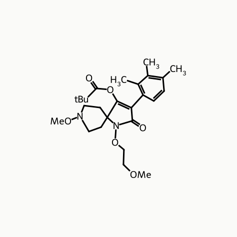 COCCON1C(=O)C(c2ccc(C)c(C)c2C)=C(OC(=O)C(C)(C)C)C12CCN(OC)CC2